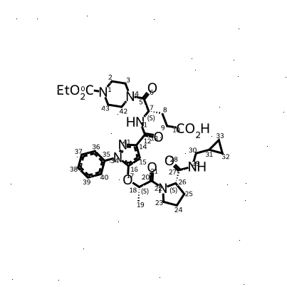 CCOC(=O)N1CCN(C(=O)[C@H](CCC(=O)O)NC(=O)c2cc(O[C@@H](C)C(=O)N3CCC[C@H]3C(=O)NCC3CC3)n(-c3ccccc3)n2)CC1